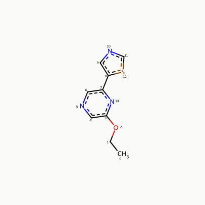 CCOc1cncc(-c2cncs2)n1